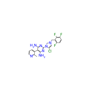 Cc1ncccc1-c1c(N)nc(N2CN(Cc3c(F)ccc(F)c3F)C=C2Cl)nc1N